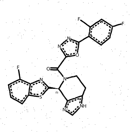 O=C(c1nnc(-c2ccc(F)cc2F)o1)N1CCc2[nH]cnc2[C@H]1c1nc2c(F)cccc2s1